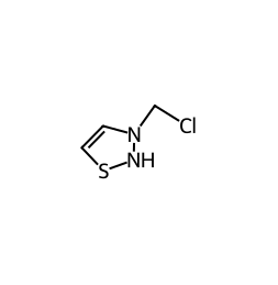 ClCN1C=CSN1